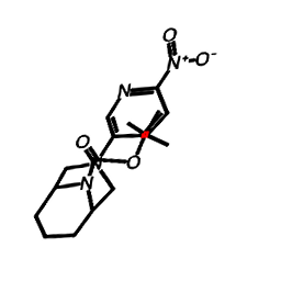 CC(C)(C)OC(=O)N1C2CCCC1CN(c1ccc([N+](=O)[O-])nc1)C2